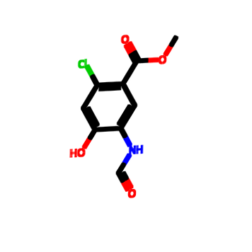 COC(=O)c1cc(NC=O)c(O)cc1Cl